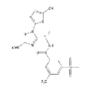 CNc1nc([C@H](C)NC(=O)c2cc(C(F)(F)F)cc(S(C)(=O)=O)c2)n(-c2ncc(C#N)s2)n1